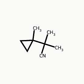 CC(C)(C#N)C1(C)CC1